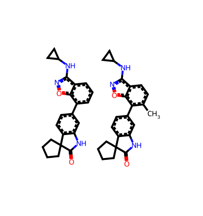 Cc1ccc2c(NC3CC3)noc2c1-c1ccc2c(c1)NC(=O)C21CCCC1.O=C1Nc2cc(-c3cccc4c(NC5CC5)noc34)ccc2C12CCCC2